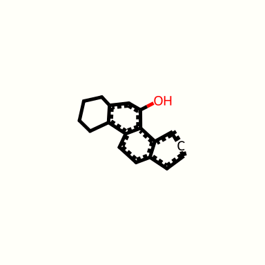 Oc1cc2c(c3ccc4ccccc4c13)CCCC2